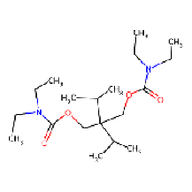 CCN(CC)C(=O)OCC(COC(=O)N(CC)CC)(C(C)C)C(C)C